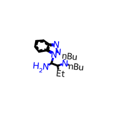 CCCCN(CCCC)C(CC)C(N)n1nnc2ccccc21